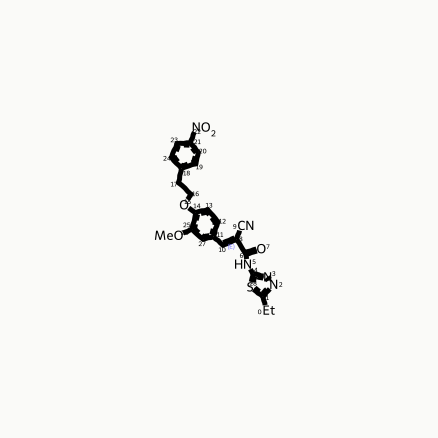 CCc1nnc(NC(=O)/C(C#N)=C/c2ccc(OCCc3ccc([N+](=O)[O-])cc3)c(OC)c2)s1